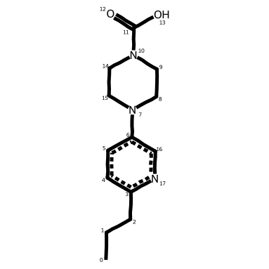 CCCc1ccc(N2CCN(C(=O)O)CC2)cn1